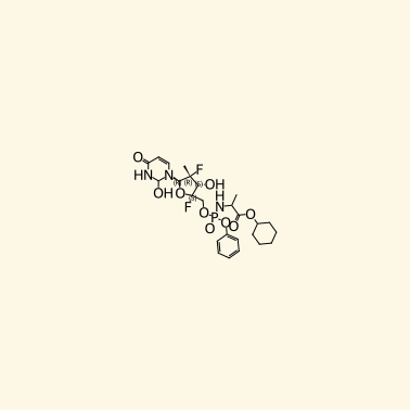 CC(NP(=O)(OC[C@@]1(F)O[C@@H](N2C=CC(=O)NC2O)[C@](C)(F)[C@@H]1O)Oc1ccccc1)C(=O)OC1CCCCC1